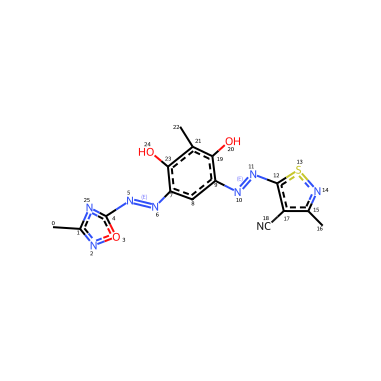 Cc1noc(/N=N/c2cc(/N=N/c3snc(C)c3C#N)c(O)c(C)c2O)n1